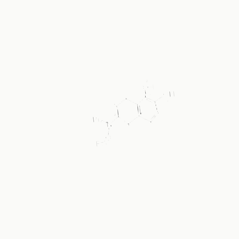 CCCCN(OCC)C1CCc2c(ccc(O)c2O)C1